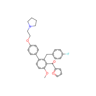 COc1ccc(-c2ccc(OCCN3CCCC3)cc2)c(Cc2ccc(F)cc2)c1C(=O)c1ccco1